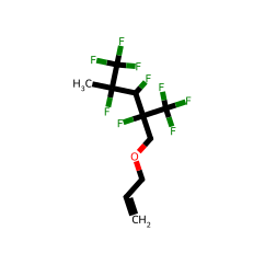 C=CCOCC(F)(C(F)C(C)(F)C(F)(F)F)C(F)(F)F